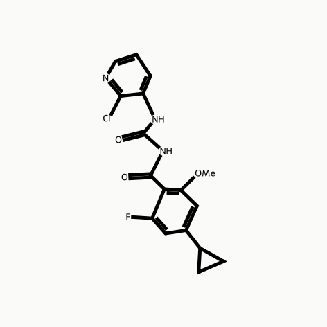 COc1cc(C2CC2)cc(F)c1C(=O)NC(=O)Nc1cccnc1Cl